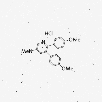 CNc1cnc(-c2ccc(OC)cc2)c(-c2ccc(OC)cc2)c1.Cl